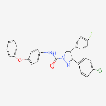 O=C(Nc1ccc(Oc2ccccc2)cc1)N1CC(c2ccc(F)cc2)C(c2ccc(Cl)cc2)=N1